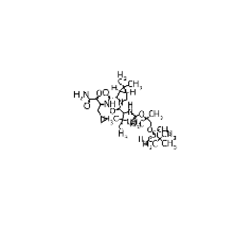 CC(C)(CO[Si](C)(C)C(C)(C)C)OC(=O)N[C@H](C(=O)N1C[C@H]2[C@@H]([C@H]1C(=O)NC(CC1CC1)C(=O)C(N)=O)C2(C)C)C(C)(C)C